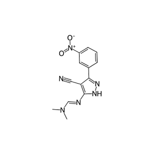 CN(C)C=Nc1[nH]nc(-c2cccc([N+](=O)[O-])c2)c1C#N